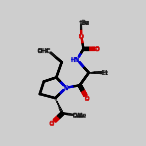 CC[C@H](NC(=O)OC(C)(C)C)C(=O)N1C(CC=O)CC[C@H]1C(=O)OC